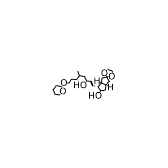 CC(CCCOC1CCCCO1)CC(O)C=C[C@@H]1[C@@H]2CC3(C[C@H]2C[C@H]1O)OCCO3